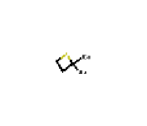 CC(C)(C)C1(C(C)(C)C)CCS1